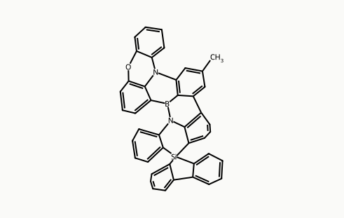 Cc1cc2c3c(c1)N1c4ccccc4Oc4cccc(c41)B3N1c3ccccc3[Si]3(c4ccccc4-c4ccccc43)c3cccc-2c31